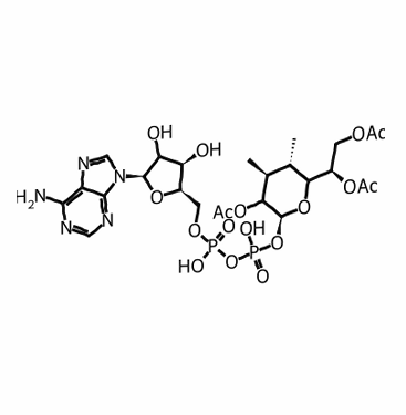 CC(=O)OC[C@@H](OC(C)=O)C1O[C@@H](OP(=O)(O)OP(=O)(O)OC[C@H]2O[C@@H](n3cnc4c(N)ncnc43)C(O)[C@H]2O)C(OC(C)=O)[C@@H](C)[C@@H]1C